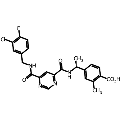 Cc1cc([C@H](C)NC(=O)c2cc(C(=O)NCc3ccc(F)c(Cl)c3)ncn2)ccc1C(=O)O